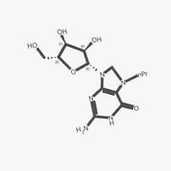 CCCN1CN([C@@H]2O[C@H](CO)[C@@H](O)[C@H]2O)c2nc(N)[nH]c(=O)c21